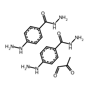 CC(=O)C=O.NNC(=O)c1ccc(NN)cc1.NNC(=O)c1ccc(NN)cc1